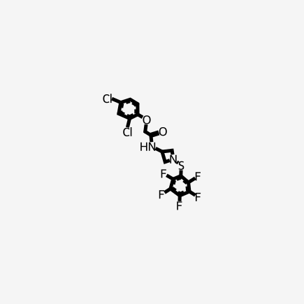 O=C(COc1ccc(Cl)cc1Cl)NC1CN(Sc2c(F)c(F)c(F)c(F)c2F)C1